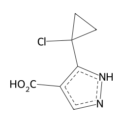 O=C(O)c1cn[nH]c1C1(Cl)CC1